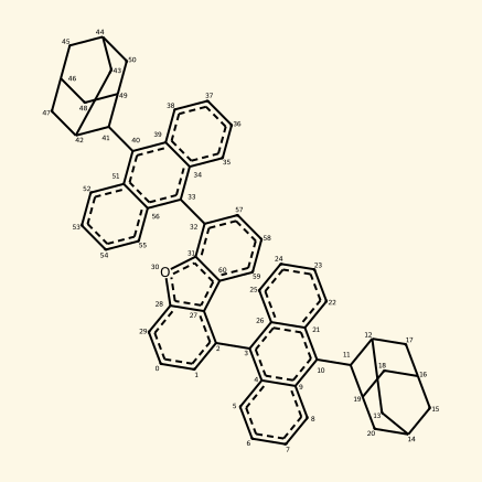 c1cc(-c2c3ccccc3c(C3C4CC5CC(C4)CC3C5)c3ccccc23)c2c(c1)oc1c(-c3c4ccccc4c(C4C5CC6CC(C5)CC4C6)c4ccccc34)cccc12